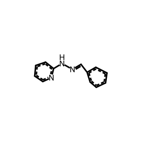 C(=N\Nc1ccccn1)/c1ccccc1